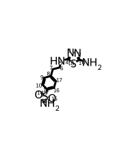 Nc1nnc(NCCc2ccc(S(N)(=O)=O)cc2)s1